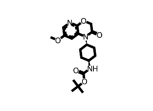 COc1cnc2c(c1)N([C@H]1CC[C@H](NC(=O)OC(C)(C)C)CC1)C(=O)CO2